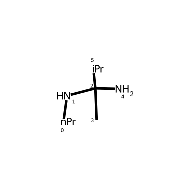 CCCNC(C)(N)C(C)C